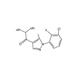 CCCC(CCC)C(=O)c1cnn(-c2cccc(Cl)c2F)c1C